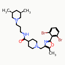 Cc1oc(-c2c(Br)cccc2Br)nc1CN1CCC(C(=O)NCCCN2C[C@H](C)C[C@H](C)C2)CC1